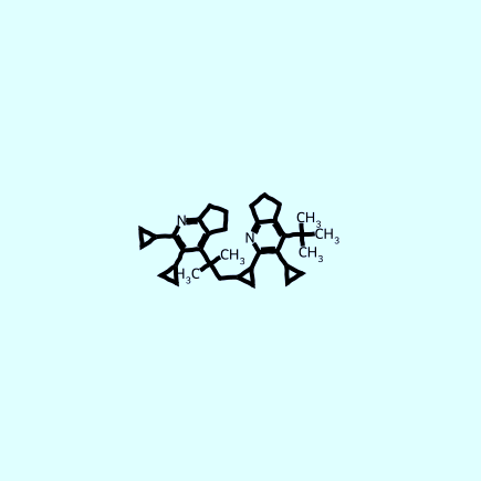 CC(C)(C)c1c2c(nc(C3CC3CC(C)(C)c3c4c(nc(C5CC5)c3C3CC3)CCC4)c1C1CC1)CCC2